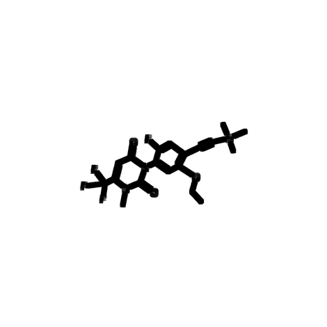 CCOc1cc(-n2c(=O)cc(C(F)(F)F)n(C)c2=O)c(F)cc1C#C[Si](C)(C)C